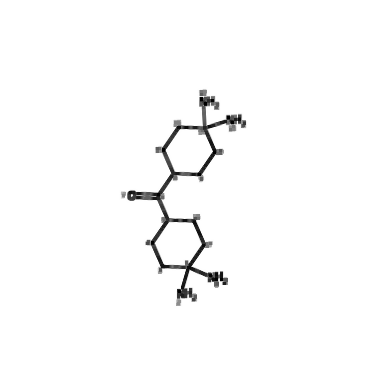 NC1(N)CCC(C(=O)C2CCC(N)(N)CC2)CC1